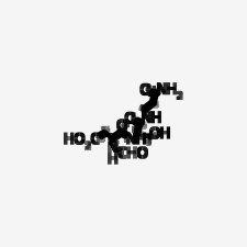 NC(=O)CCNC(=O)[C@H](CO)NC(=O)[C@H](CC(=O)O)NC=O